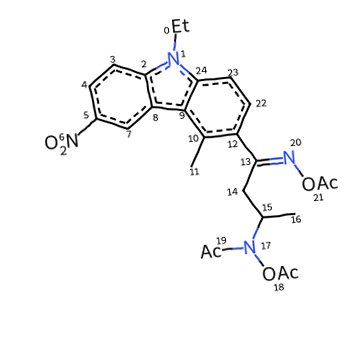 CCn1c2ccc([N+](=O)[O-])cc2c2c(C)c(/C(CC(C)N(OC(C)=O)C(C)=O)=N/OC(C)=O)ccc21